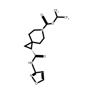 O=C(Nc1ccon1)[C@@H]1CC12CCN(C(=O)OC(C(F)(F)F)C(F)(F)F)CC2